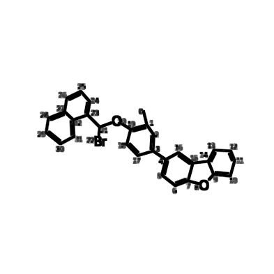 Cc1cc(-c2ccc3oc4ccccc4c3c2)ccc1OC(Br)c1cccc2ccccc12